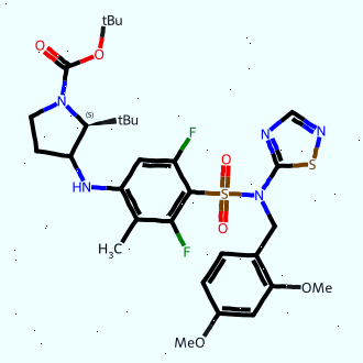 COc1ccc(CN(c2ncns2)S(=O)(=O)c2c(F)cc(NC3CCN(C(=O)OC(C)(C)C)[C@H]3C(C)(C)C)c(C)c2F)c(OC)c1